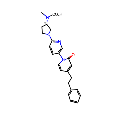 CN(C(=O)O)[C@H]1CCN(c2ccc(-n3ccc(CCc4ccccc4)cc3=O)cn2)C1